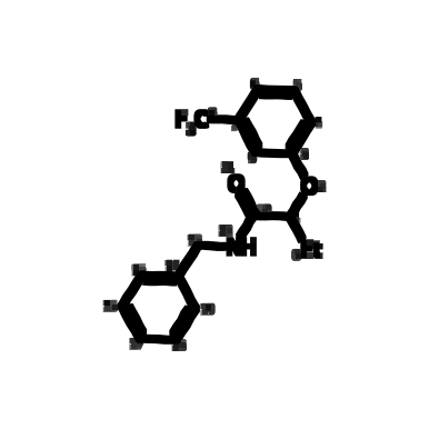 CCC(Oc1cccc(C(F)(F)F)c1)C(=O)NCc1ccccc1